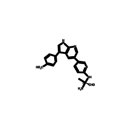 C[C@@](N)(C=O)Nc1ccc(-c2cnc3[nH]cc(-c4ccc(C(=O)O)cc4)c3c2)cn1